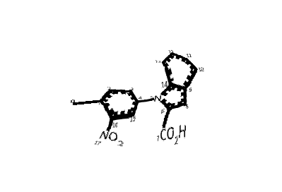 Cc1ccc(-n2c(C(=O)O)cc3ccccc32)cc1[N+](=O)[O-]